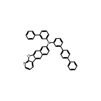 c1ccc(-c2ccc(-c3cccc(N(c4cccc(-c5ccccc5)c4)c4ccc5cc6c(cc5c4)oc4ncccc46)c3)cc2)cc1